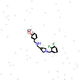 Fc1cccc(CN2CC3C(CNCc4cccc(OC(F)(F)F)c4)C3C2)c1F